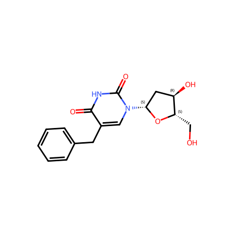 O=c1[nH]c(=O)n([C@@H]2C[C@@H](O)[C@H](CO)O2)cc1Cc1ccccc1